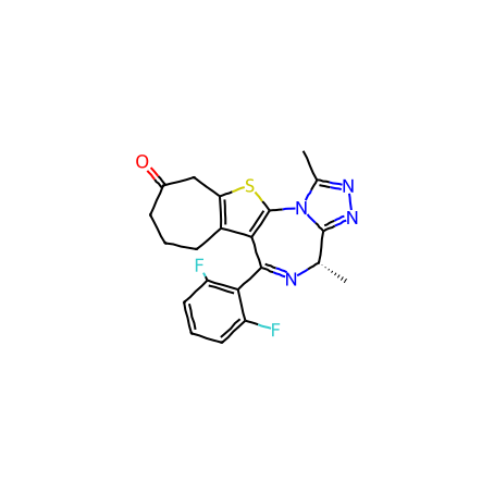 Cc1nnc2n1-c1sc3c(c1C(c1c(F)cccc1F)=N[C@H]2C)CCCC(=O)C3